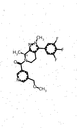 COCc1cncc(C(=O)N2CCc3c(nn(C)c3-c3cc(F)c(F)c(F)c3)[C@@H]2C)c1